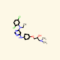 CN(C)CC(O)COc1ccc(Nc2cc(N(CC#N)c3cc(Cl)ccc3Cl)ncn2)cc1